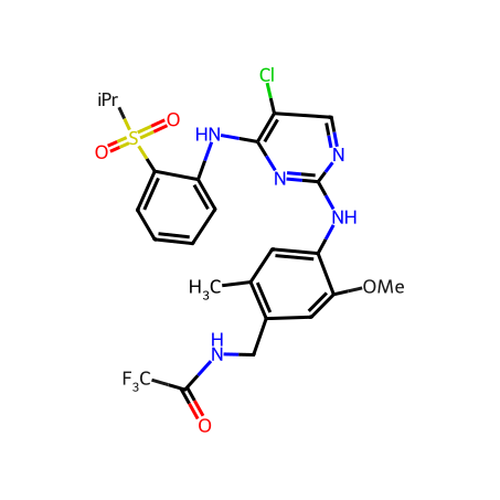 COc1cc(CNC(=O)C(F)(F)F)c(C)cc1Nc1ncc(Cl)c(Nc2ccccc2S(=O)(=O)C(C)C)n1